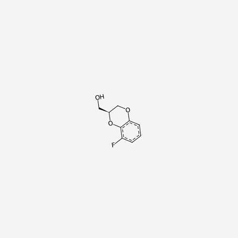 OC[C@H]1COc2cccc(F)c2O1